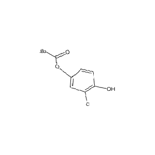 CCC(C)C(=O)Oc1ccc(O)c(Cl)c1